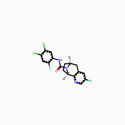 O=C(Nc1cc(Cl)c(Cl)cc1F)N1[C@H]2CC[C@@H]1c1ncc(F)cc1C2